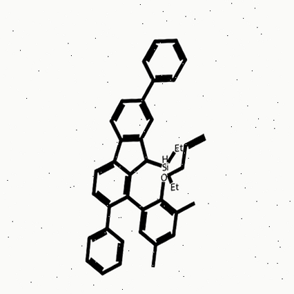 C=CCOc1c(C)cc(C)cc1-c1c(-c2ccccc2)ccc2c1C([SiH](CC)CC)c1cc(-c3ccccc3)ccc1-2